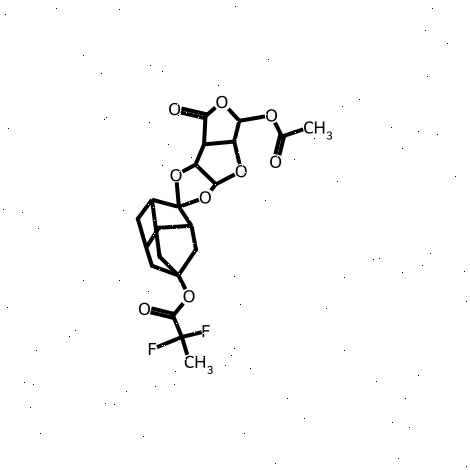 CC(=O)OC1OC(=O)C2C1OC1OC3(OC12)C1CC2CC3CC(OC(=O)C(C)(F)F)(C2)C1